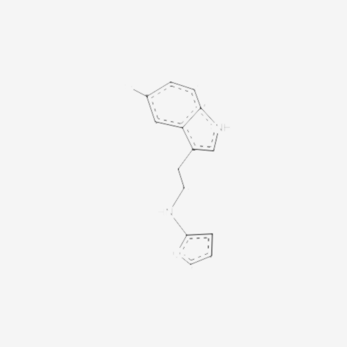 Oc1ccc2[nH]cc(CCNc3ccco3)c2c1